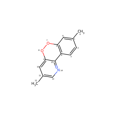 Cc1ccc2c(c1)OOc1cc(C)cnc1-2